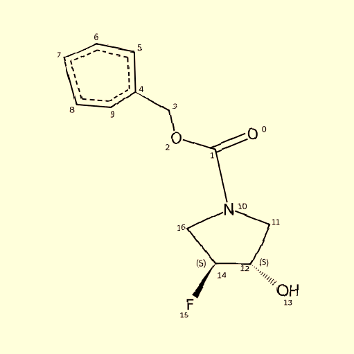 O=C(OCc1ccccc1)N1C[C@H](O)[C@@H](F)C1